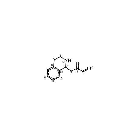 O=CNCC1NCCc2ccccc21